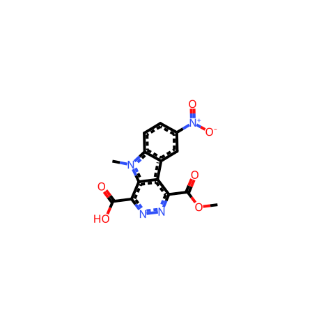 COC(=O)c1nnc(C(=O)O)c2c1c1cc([N+](=O)[O-])ccc1n2C